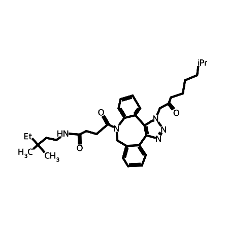 CCC(C)(C)CCNC(=O)CCC(=O)N1Cc2ccccc2-c2nnn(CC(=O)CCCCC(C)C)c2-c2ccccc21